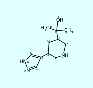 CC(C)(O)C1CNCC(c2cn[nH]c2)C1